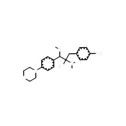 CCC(Cc1ccc(C)cc1)(C(NC=O)c1ccc(N2CCOCC2)cc1)N(C)C